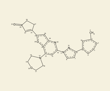 Cc1cccc(-c2ccn(-c3cc(N4CCOCC4)c4oc(C5=CC(=O)CC5)cc4n3)n2)c1